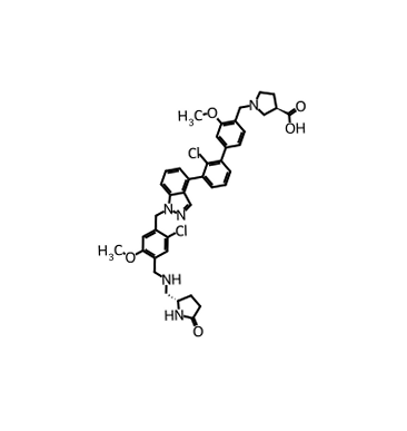 COc1cc(Cn2ncc3c(-c4cccc(-c5ccc(CN6CC[C@@H](C(=O)O)C6)c(OC)c5)c4Cl)cccc32)c(Cl)cc1CNC[C@@H]1CCC(=O)N1